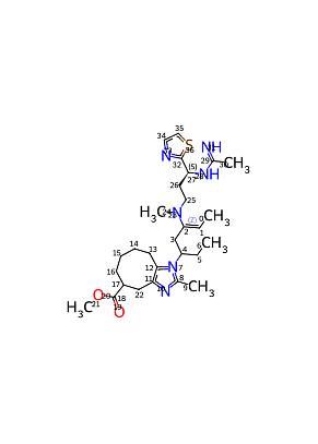 C/C=C(/CC(CC)n1c(C)nc2c1CCCCC(C(=O)OC)C2)N(C)CC[C@H](NC(C)=N)c1nccs1